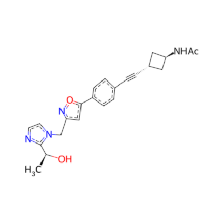 CC(=O)N[C@H]1C[C@H](C#Cc2ccc(-c3cc(Cn4ccnc4[C@H](C)O)no3)cc2)C1